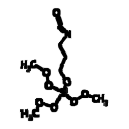 COO[Si](OCCCN=C=O)(OOC)OOC